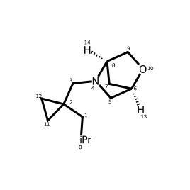 CC(C)CC1(CN2C[C@H]3C[C@@H]2CO3)CC1